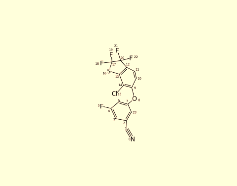 N#Cc1cc(F)cc(Oc2ccc3c(c2Cl)SC(F)(F)C3(F)F)c1